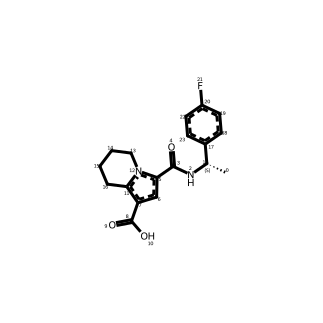 C[C@H](NC(=O)c1cc(C(=O)O)c2n1CCCC2)c1ccc(F)cc1